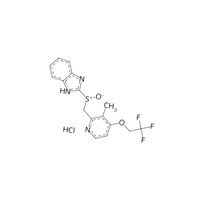 Cc1c(OCC(F)(F)F)ccnc1C[S+]([O-])c1nc2ccccc2[nH]1.Cl